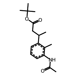 CC(=O)Nc1cccc(C(C)CC(=O)OC(C)(C)C)c1C